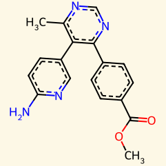 COC(=O)c1ccc(-c2ncnc(C)c2-c2ccc(N)nc2)cc1